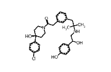 CC(C)(Cc1cccc(CC(=O)N2CCC(O)(c3ccc(Cl)cc3)CC2)c1)NCC(O)c1ccc(O)cc1